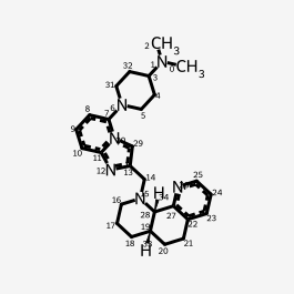 CN(C)C1CCN(c2cccc3nc(CN4CCC[C@H]5CCc6cccnc6[C@H]54)cn23)CC1